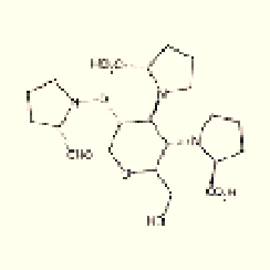 O=C[C@@H]1CCCN1O[C@H]1COC(CO)[C@@H](N2CCC[C@H]2C(=O)O)[C@@H]1N1CCC[C@H]1C(=O)O